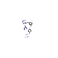 Cc1ccc(C(=O)Nc2ccc(CN3CCN(C)CC3)c(C(F)(F)F)c2)cc1Cc1nc(-c2ccncc2)nc2ccn(C)c12